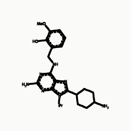 COc1cccc(CNc2nc(N)nc3c2nc(C2CCC(N)CC2)n3C(C)C)c1O